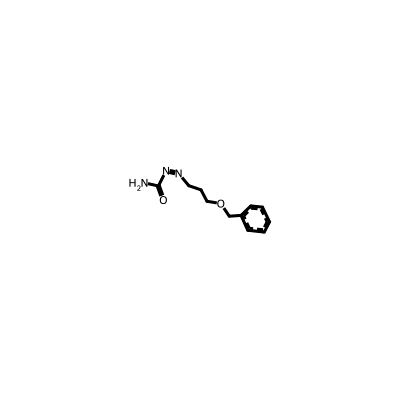 NC(=O)/N=N\CCCOCc1ccccc1